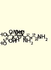 CO[C@@H]([C@H](O)[C@H](O)CO)[C@@H](O)C(O)OC(=O)[C@@H](N)CCCCN